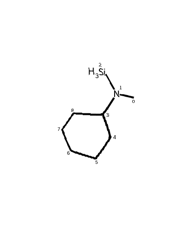 CN([SiH3])C1CCCCC1